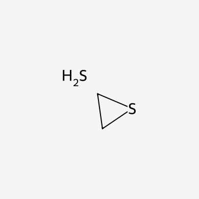 C1CS1.S